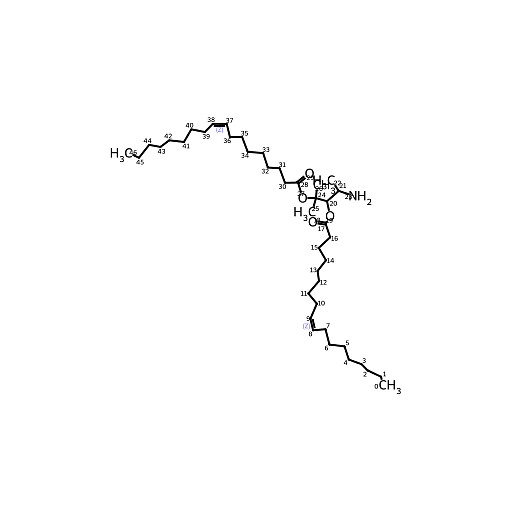 CCCCCCCC/C=C\CCCCCCCC(=O)OC(C(C)N)C(C)(C)OC(=O)CCCCCCC/C=C\CCCCCCCC